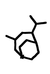 CC1CC(C(C)C)C2CCN(CC2)C1